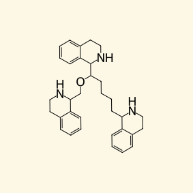 c1ccc2c(c1)CCNC2CCCCC(OCC1NCCc2ccccc21)C1NCCc2ccccc21